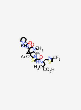 CC(=O)O[C@H](C[C@H](C(C)C)N(C)C(=O)[C@@H](NC(=O)[C@H]1CCCCN1C)C1CC1)c1nc(C(=O)N[C@@H](Cc2nc(C(F)(F)F)cs2)C[C@H](C)C(=O)O)cs1